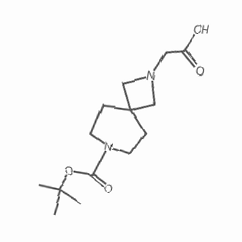 CC(C)(C)OC(=O)N1CCC2(CC1)CN(CC(=O)O)C2